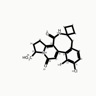 O=C1NC2(CCC2)Cc2ccc(Cl)c(F)c2-c2cc(=O)n3c(c21)CCC3C(=O)O